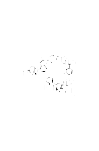 Cc1cc(C(=O)N2CCC(CN3CCC(n4c(C)cc5c(N6CCC(=O)NC6=O)cccc54)CC3)CC2)ccc1[C@H]1CN(c2cc(-c3ccccc3O)nnc2N)C[C@H](C)O1